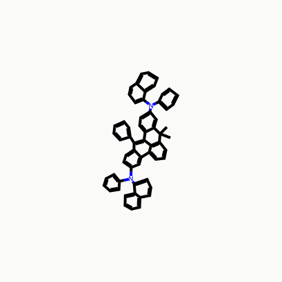 CC1(C)c2cc(N(c3ccccc3)c3cccc4ccccc34)ccc2-c2c(-c3ccccc3)c3ccc(N(c4ccccc4)c4cccc5ccccc45)cc3c3cccc1c23